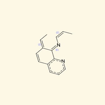 C\C=C/N=C1\C(=C/C)C=Cc2cccnc21